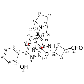 Nc1nnc(-c2ccccc2O)cc1N1CC2CCC(C1)N2c1ccnc(O[C@H]2C[C@H](C=O)C2)c1